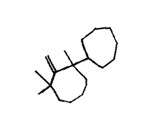 C=C1C(C)(C)CCCCC1(C)C1CCCCCC1